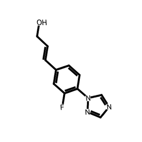 OCC=Cc1ccc(-n2cncn2)c(F)c1